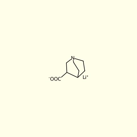 O=C([O-])C1CN2CCC1CC2.[Li+]